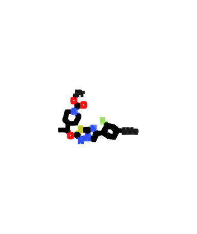 CSc1ccc(-c2cn3nc(OC(C)C4CCN(C(=O)OC(C)C)CC4)sc3n2)c(F)c1